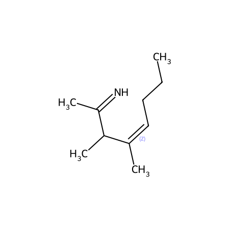 CCC/C=C(/C)C(C)C(C)=N